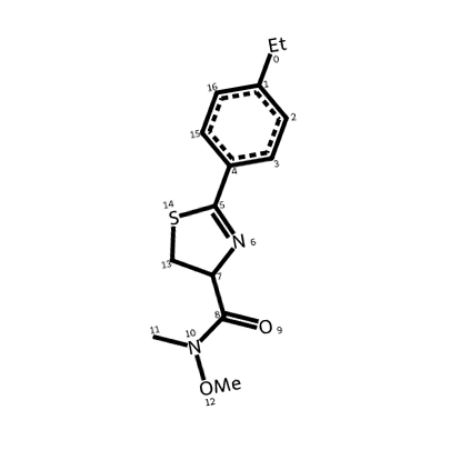 CCc1ccc(C2=NC(C(=O)N(C)OC)CS2)cc1